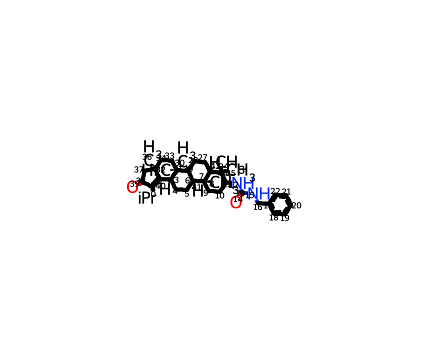 CC(C)C1=C2[C@H]3CC[C@@H]4[C@@]5(C)CCC(NC(=O)NCc6ccccc6)C(C)(C)[C@@H]5CC[C@@]4(C)[C@]3(C)CC[C@@]2(C)CC1=O